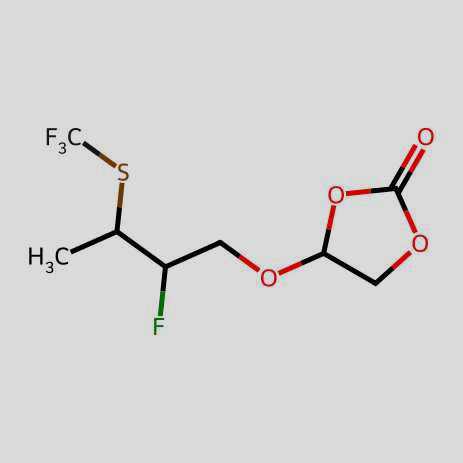 CC(SC(F)(F)F)C(F)COC1COC(=O)O1